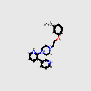 COc1cccc(OCCN2CCN(c3ncccc3-c3cccnc3)CC2)c1